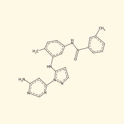 Cc1cccc(C(=O)Nc2ccc(C)c(Nc3ccnn3-c3cc(N)ncn3)c2)c1